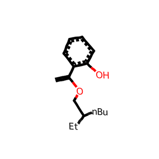 C=C(OCC(CC)CCCC)c1ccccc1O